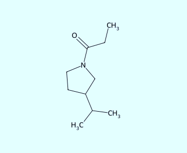 CCC(=O)N1CCC(C(C)C)C1